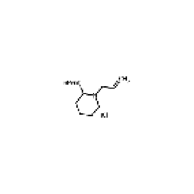 C=CCN1CCCCC1CCCCC.Cl